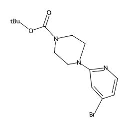 CC(C)(C)OC(=O)N1CCN(c2cc(Br)ccn2)CC1